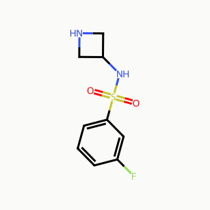 O=S(=O)(NC1CNC1)c1cccc(F)c1